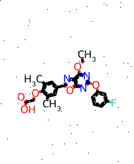 CCOc1nc(Oc2cccc(F)c2)nc2oc(-c3cc(C)c(OCC(=O)O)c(C)c3)nc12